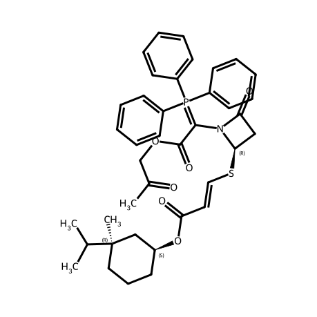 CC(=O)COC(=O)C(N1C(=O)C[C@H]1SC=CC(=O)O[C@H]1CCC[C@@](C)(C(C)C)C1)=P(c1ccccc1)(c1ccccc1)c1ccccc1